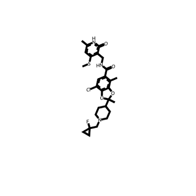 CSc1cc(C)[nH]c(=O)c1CNC(=O)c1cc(Cl)c2c(c1C)OC(C)(C1CCN(CC3(F)CC3)CC1)O2